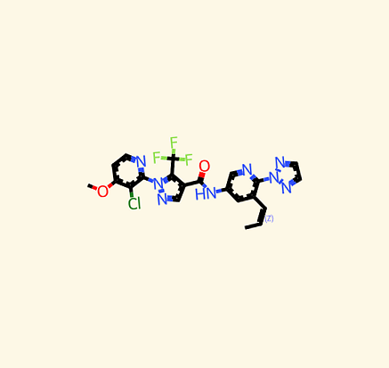 C/C=C\c1cc(NC(=O)c2cnn(-c3nccc(OC)c3Cl)c2C(F)(F)F)cnc1-n1nccn1